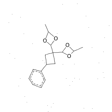 CC1OC(C2(C3OC(C)O3)CC(c3ccccc3)C2)O1